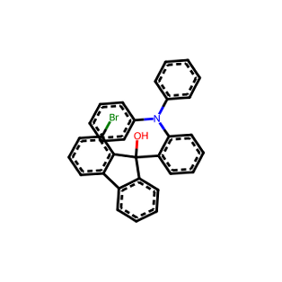 OC1(c2ccccc2N(c2ccccc2)c2ccccc2)c2ccccc2-c2cccc(Br)c21